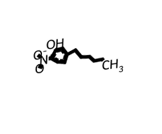 CCCCCCc1ccc([N+](=O)[O-])c(O)c1